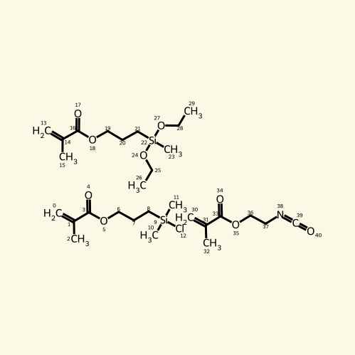 C=C(C)C(=O)OCCC[Si](C)(C)Cl.C=C(C)C(=O)OCCC[Si](C)(OCC)OCC.C=C(C)C(=O)OCCN=C=O